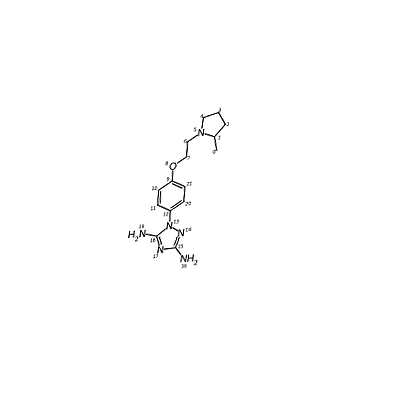 CC1CCCN1CCOc1ccc(-n2nc(N)nc2N)cc1